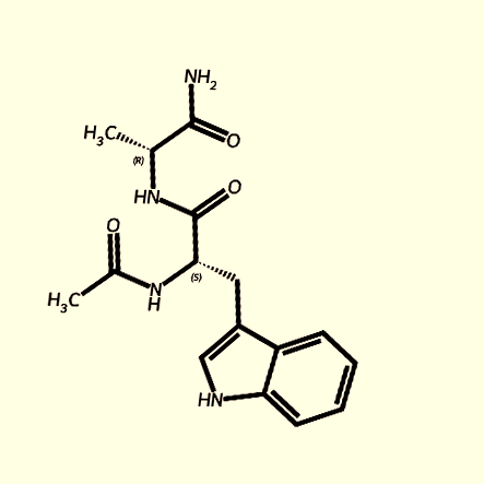 CC(=O)N[C@@H](Cc1c[nH]c2ccccc12)C(=O)N[C@H](C)C(N)=O